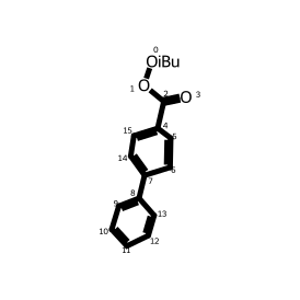 [CH2]C(C)[CH]OOC(=O)c1ccc(-c2ccccc2)cc1